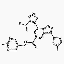 Cc1ncc(CNC(=O)c2cc(-n3nncc3C(F)F)c3ncc(-c4ccc(C)s4)n3c2)cn1